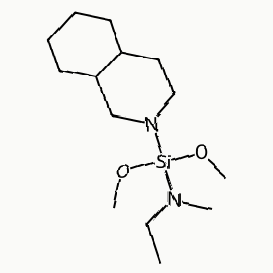 CCN(C)[Si](OC)(OC)N1CCC2CCCCC2C1